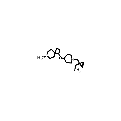 CCC1(CN2CCC(OC3CCC34CCN(C)CC4)CC2)CC1